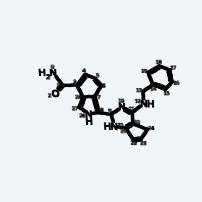 NC(=O)c1cccc2c(C3N=C(NCc4ccccc4)C4=C(C=CC4)N3)[nH]cc12